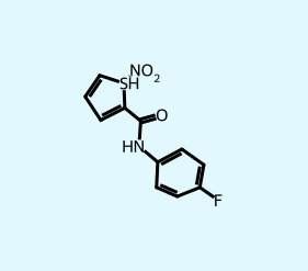 O=C(Nc1ccc(F)cc1)C1=CC=C[SH]1[N+](=O)[O-]